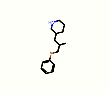 [CH2]C(CSc1ccccc1)CC1CCCNC1